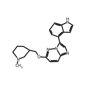 CN1CCCC(COc2ccc3ncc(-c4cccc5[nH]ccc45)n3n2)C1